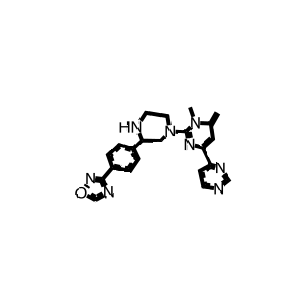 C=C1C=C(c2ccncn2)N=C(N2CCNC(c3ccc(-c4ncon4)cc3)C2)N1C